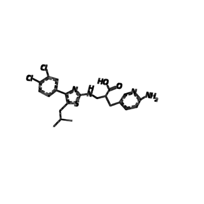 CC(C)Cc1sc(NCC(Cc2ccc(N)nc2)C(=O)O)nc1-c1ccc(Cl)c(Cl)c1